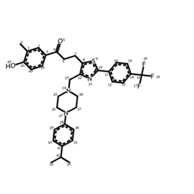 Cc1cc(C(=O)CCc2sc(-c3ccc(C(F)(F)F)cc3)nc2CN2CCN(c3ccc(C(C)C)cc3)CC2)ccc1O